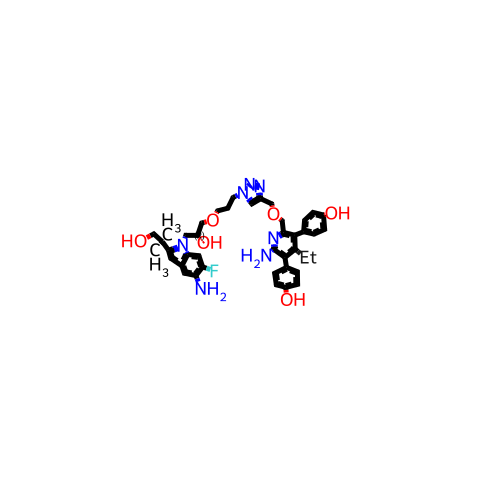 CCc1c(-c2ccc(O)cc2)c(N)nc(COCc2cn(CCCOC[C@H](O)Cn3c(C(C)(C)CO)cc4cc(N)c(F)cc43)nn2)c1-c1ccc(O)cc1